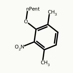 CCCCCOc1c(C)ccc(C)c1[N+](=O)[O-]